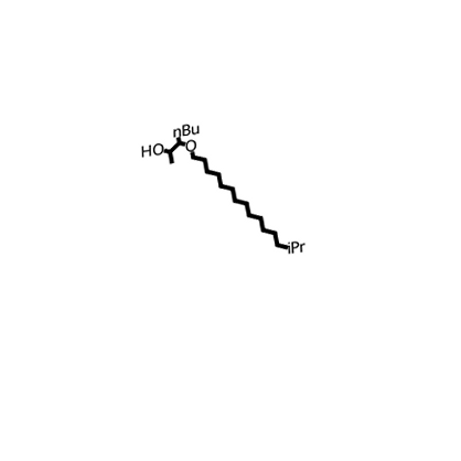 CCCCC(OCCCCCCCCCCCCCC(C)C)C(C)O